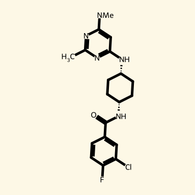 CNc1cc(N[C@H]2CC[C@@H](NC(=O)c3ccc(F)c(Cl)c3)CC2)nc(C)n1